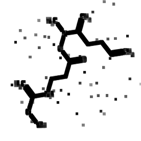 C=CCCC(=C)N(C)OC(=O)CCNC(=C)OC(C)(C)C